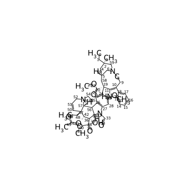 CC[C@]1(C)C[C@@H]2CN(CCc3c([nH]c4ccccc34)[C@@](C(=O)OC)(c3cc4c(cc3OC)N(C=O)[C@H]3[C@@](O)(C(=O)OC)[C@H](OC(C)=O)[C@]5(CC)C=CCN6CC[C@]43[C@@H]65)C2)C1